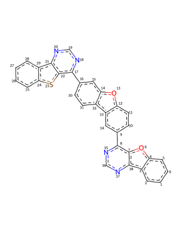 c1ccc2c(c1)oc1c(-c3ccc4oc5cc(-c6ncnc7c6sc6ccccc67)ccc5c4c3)ncnc12